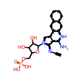 C#C/N=c1\c2c(N)[nH]c3cc4ccccc4cc3c-2cn1C1OC(COP(=O)(O)O)C(O)C1O